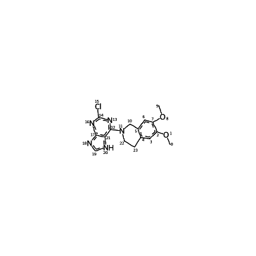 COc1cc2c(cc1OC)CN(c1nc(Cl)nc3nc[nH]c13)CC2